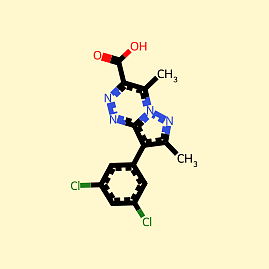 Cc1nn2c(C)c(C(=O)O)nnc2c1-c1cc(Cl)cc(Cl)c1